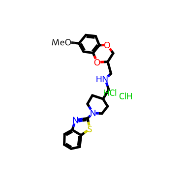 COc1ccc2c(c1)OC(CNCC1CCN(c3nc4ccccc4s3)CC1)CO2.Cl.Cl